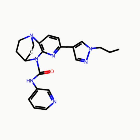 CCCn1cc(-c2ccc3c(n2)N(C(=O)Nc2cccnc2)C2CCN3CC2)cn1